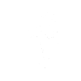 COC(=O)C(c1cccs1)N1CC(n2c(-c3ccccc3)c(-c3ccccc3)oc2=O)C1=O